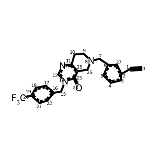 C#Cc1cccc(CN2CCc3ncn(Cc4ccc(C(F)(F)F)cc4)c(=O)c3C2)c1